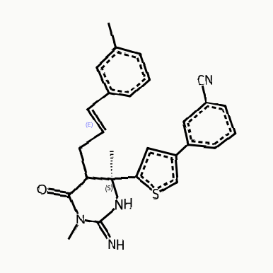 Cc1cccc(/C=C/CC2C(=O)N(C)C(=N)N[C@]2(C)c2cc(-c3cccc(C#N)c3)cs2)c1